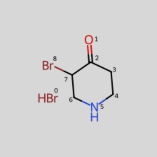 Br.O=C1CCNCC1Br